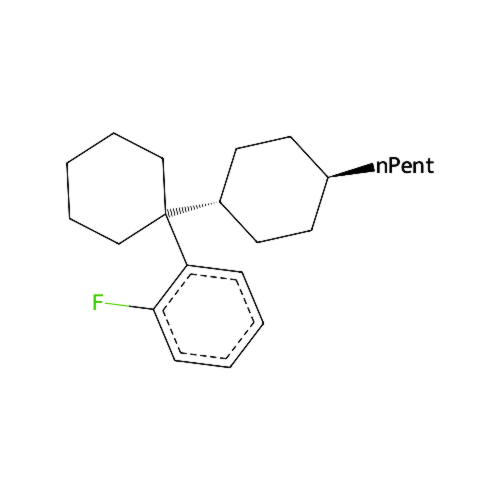 CCCCC[C@H]1CC[C@H](C2(c3ccccc3F)CCCCC2)CC1